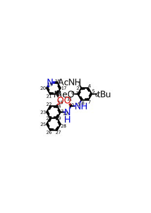 COc1c(NC(C)=O)cc(C(C)(C)C)cc1NC(=O)Nc1c(Oc2ccncc2)ccc2ccccc12